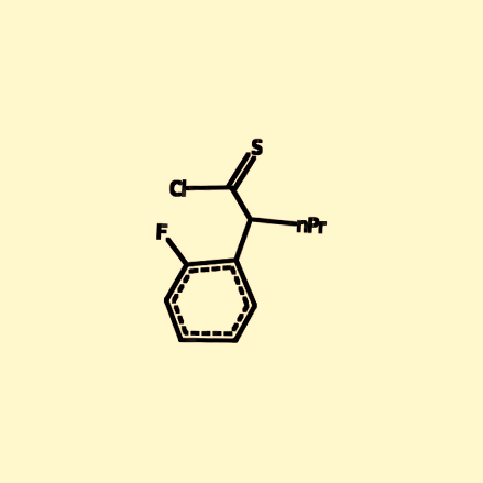 CCCC(C(=S)Cl)c1ccccc1F